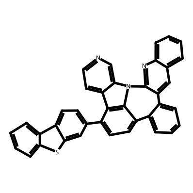 c1ccc2c(c1)-c1cc3ccccc3nc1-n1c3cnccc3c3c(-c4ccc5c(c4)sc4ccccc45)ccc-2c31